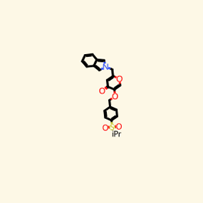 CC(C)S(=O)(=O)c1ccc(COc2coc(Cn3cc4ccccc4c3)cc2=O)cc1